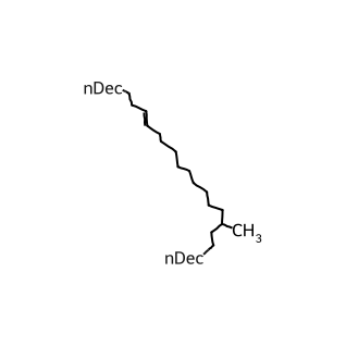 CCCCCCCCCCCCC=CCCCCCCCCCC(C)CCCCCCCCCCCC